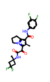 Cc1c(C(=O)Nc2ccc(F)c(F)c2)c2n(c1C(=O)C(=O)NC1(C)CC(F)(F)C1)CCC2